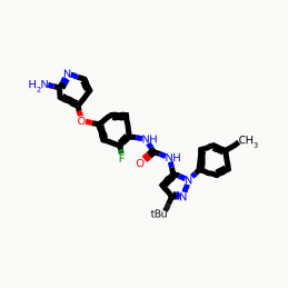 Cc1ccc(-n2nc(C(C)(C)C)cc2NC(=O)Nc2ccc(Oc3ccnc(N)c3)cc2F)cc1